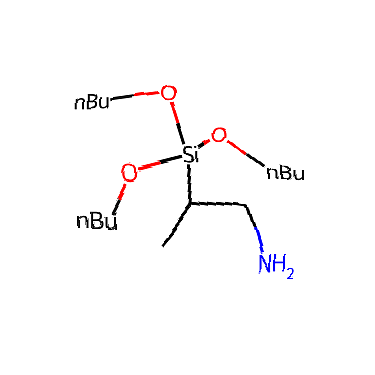 CCCCO[Si](OCCCC)(OCCCC)C(C)CN